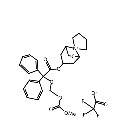 COC(=O)OCOC(C(=O)OC1CC2CCC(C1)[N+]21CCCC1)(c1ccccc1)c1ccccc1.O=C([O-])C(F)(F)F